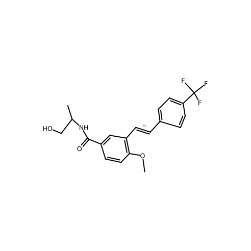 COc1ccc(C(=O)NC(C)CO)cc1/C=C/c1ccc(C(F)(F)F)cc1